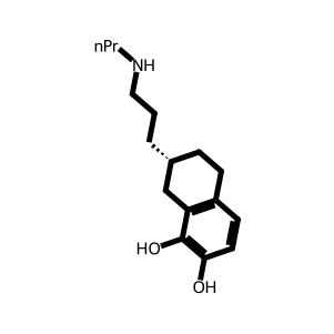 CCCNCCC[C@@H]1CCc2ccc(O)c(O)c2C1